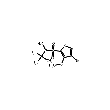 COc1c(Br)csc1S(=O)(=O)N(C)C(C)(C)C